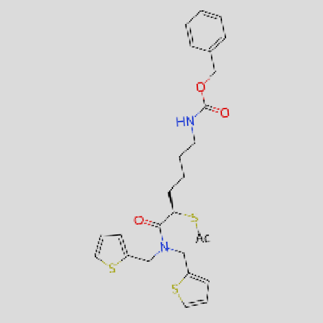 CC(=O)S[C@H](CCCCNC(=O)OCc1ccccc1)C(=O)N(Cc1cccs1)Cc1cccs1